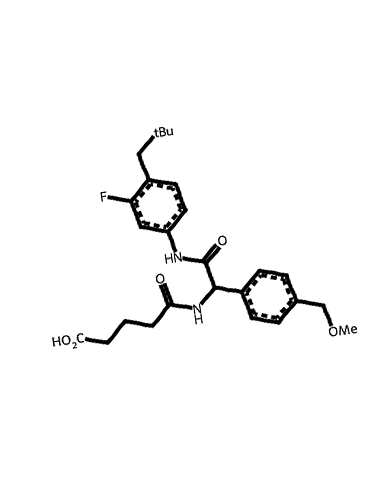 COCc1ccc(C(NC(=O)CCCC(=O)O)C(=O)Nc2ccc(CC(C)(C)C)c(F)c2)cc1